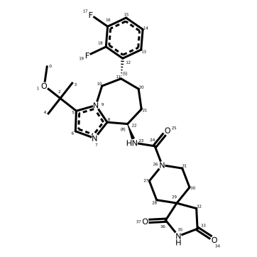 COC(C)(C)c1cnc2n1C[C@H](c1cccc(F)c1F)CC[C@H]2NC(=O)N1CCC2(CC1)CC(=O)NC2=O